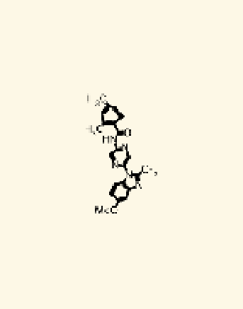 COc1ccc2c(c1)nc(C(F)(F)F)n2-c1cnc(NC(=O)c2ccc(C)cc2C)cn1